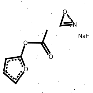 C1=NO1.CC(=O)Oc1ccco1.[NaH]